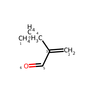 C.C.C=C(C)C=O